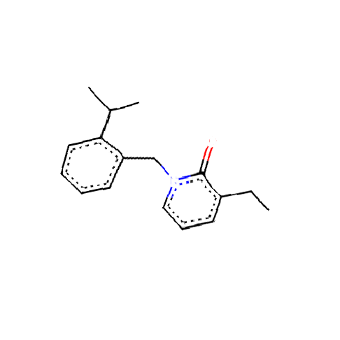 [CH2]Cc1cccn(Cc2ccccc2C(C)C)c1=O